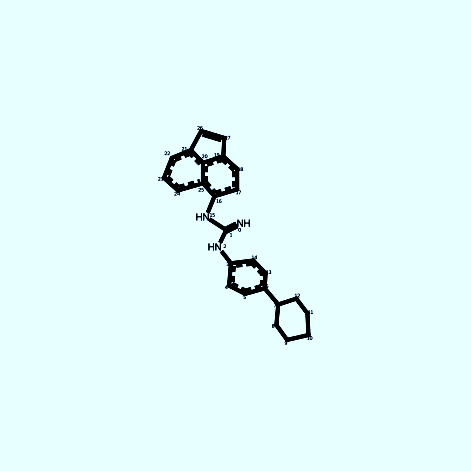 N=C(Nc1ccc(C2CCCCC2)cc1)Nc1ccc2c3c(cccc13)C=C2